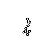 c1ccc2c(c1)sc1c(-c3ccc(-c4ccc5c6ccccc6c6c7ccccc7c7ccccc7c6c5c4)cc3)cccc12